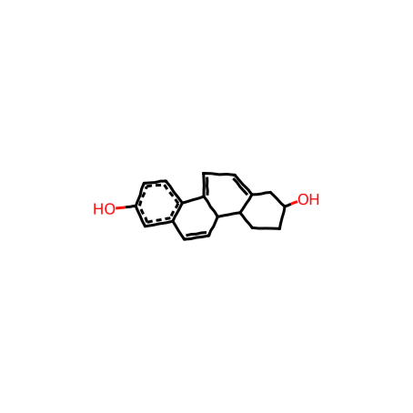 Oc1ccc2c(c1)C=CC1C2=CC=C2CC(O)CCC21